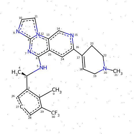 Cc1c([C@@H](C)Nc2nc3nccn3c3cnc(C4=CCN(C)CC4)cc23)cccc1C(F)(F)F